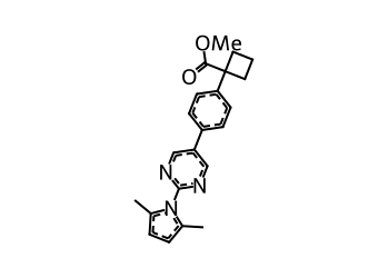 COC(=O)C1(c2ccc(-c3cnc(-n4c(C)ccc4C)nc3)cc2)CCC1